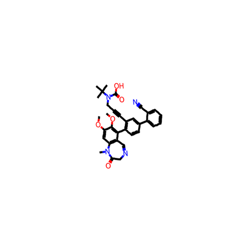 COc1cc2c(c(-c3ccc(-c4ccccc4C#N)cc3C#CCN(C(=O)O)C(C)(C)C)c1OC)C=NCC(=O)N2C